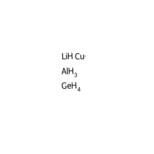 [AlH3].[Cu].[GeH4].[LiH]